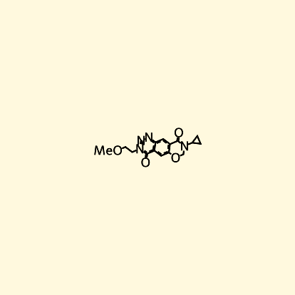 COCCn1nnc2cc3c(cc2c1=O)OCN(C1CC1)C3=O